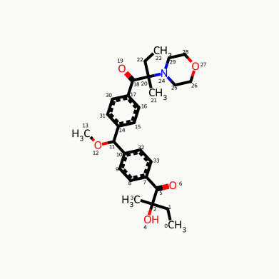 CCC(C)(O)C(=O)c1ccc(C(OC)c2ccc(C(=O)C(C)(CC)N3CCOCC3)cc2)cc1